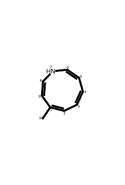 Cc1ccccc[nH]cc1